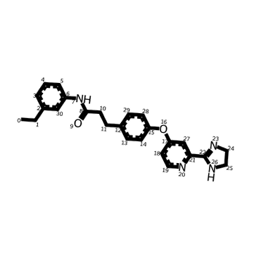 CCc1cccc(NC(=O)CCc2ccc(Oc3ccnc(C4=NCCN4)c3)cc2)c1